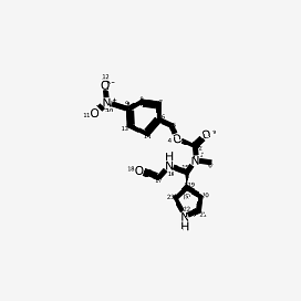 CN(C(=O)OCc1ccc([N+](=O)[O-])cc1)C(NC=O)[C@H]1CCNC1